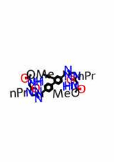 CC#Cc1cc(-c2cnc(CN(CCC)C(=O)CNC(=O)OC)[nH]2)ccc1-c1ccc(-c2cnc(CN(CCC)C(=O)CNC(=O)OC)[nH]2)cc1